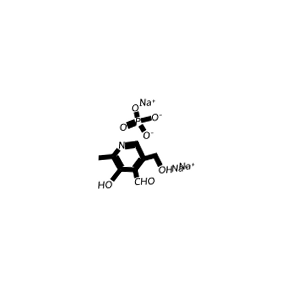 Cc1ncc(CO)c(C=O)c1O.O=P([O-])([O-])[O-].[Na+].[Na+].[Na+]